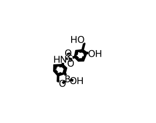 O=S(=O)(Nc1ccc2c(c1)B(O)OC2)c1ccc(O)c(CO)c1